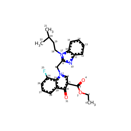 CCOC(=O)c1cn(Cc2nc3ccccc3n2CCC(C)C)c2c(F)cccc2c1=O